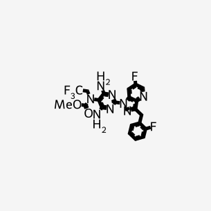 COC(=O)N(CC(F)(F)F)c1c(N)nc(-n2nc(Cc3ccccc3F)c3ncc(F)cc32)nc1N